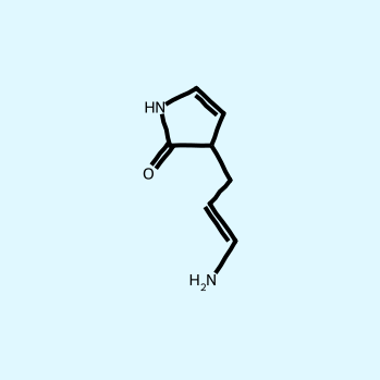 NC=CCC1C=CNC1=O